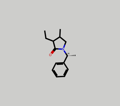 CCC1C(=O)N([C@H](C)c2ccccc2)CC1C